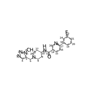 Cn1nncc1CN1CCC(NC(=O)c2ccc(-c3cccc(F)c3)nc2)CC1